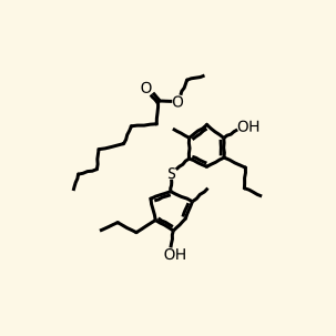 CCCCCCCC(=O)OCC.CCCc1cc(Sc2cc(CCC)c(O)cc2C)c(C)cc1O